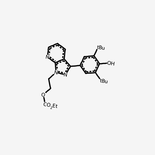 CCOC(=O)OCCn1nc(-c2cc(C(C)(C)C)c(O)c(C(C)(C)C)c2)c2cccnc21